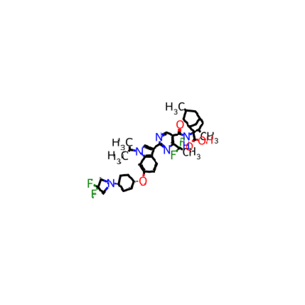 CC1CC2CC(C)C(NC(=O)c3cnc(-c4cn(C(C)C)c5cc(O[C@H]6CC[C@H](N7CC(F)(F)C7)CC6)ccc45)nc3C(C)(F)F)(C(=O)O)C(C1)C2